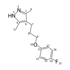 Cc1n[nH]c(C)c1CCCOc1ccc(F)cc1